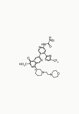 CCNC(=O)Nc1cc(-c2nc(C(F)(F)F)cs2)c(-c2cc3c(=O)c(C(=O)O)cn([C@@H]4CCCN(CCN5CCOCC5)C4)c3cn2)cn1